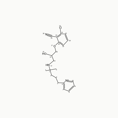 CC(C)(CCCc1ccccn1)NCC(O)COc1cccc(Cl)c1C#N